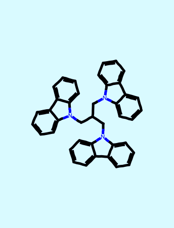 c1ccc2c(c1)c1ccccc1n2CC(Cn1c2ccccc2c2ccccc21)Cn1c2ccccc2c2ccccc21